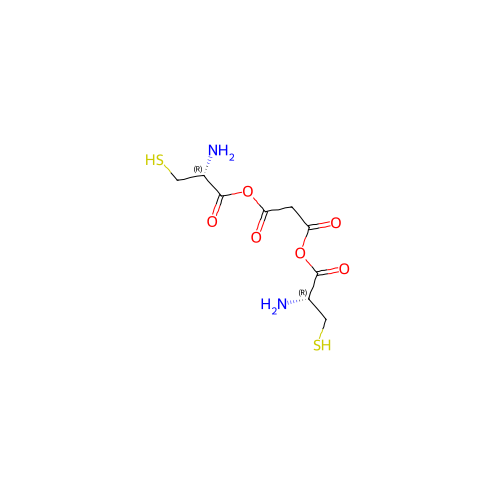 N[C@@H](CS)C(=O)OC(=O)CC(=O)OC(=O)[C@@H](N)CS